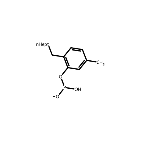 CCCCCCCCc1ccc(C)cc1OP(O)O